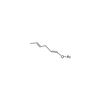 CC=CCC=COC(C)=O